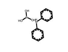 OB(O)O.c1ccc(Nc2ccccc2)cc1